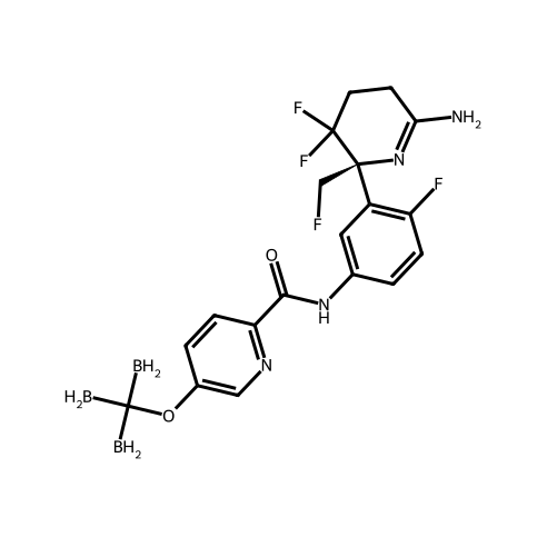 BC(B)(B)Oc1ccc(C(=O)Nc2ccc(F)c([C@@]3(CF)N=C(N)CCC3(F)F)c2)nc1